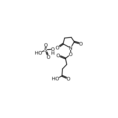 O=C(O)CCC(=O)ON1C(=O)CCC1=O.O=S(=O)(O)O